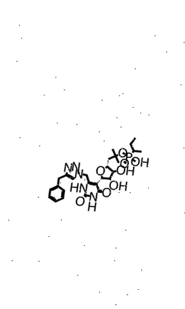 CCC(C)P(=O)(O)OC(C)(C)C[C@H]1O[C@@H](c2c(Cn3cc(Cc4ccccc4)nn3)[nH]c(=O)[nH]c2=O)[C@@H](O)C1O